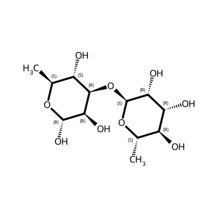 C[C@@H]1O[C@@H](O[C@@H]2[C@@H](O)[C@H](C)O[C@@H](O)[C@@H]2O)[C@H](O)[C@H](O)[C@H]1O